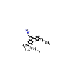 CCCCc1ccc(C(=CC=C=[N+]=[N-])c2ccc(CC)cc2)cc1.C[CH2][Pd][CH2]C